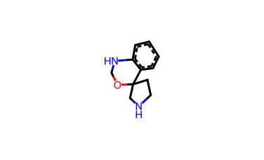 c1ccc2c(c1)NCOC21CCNC1